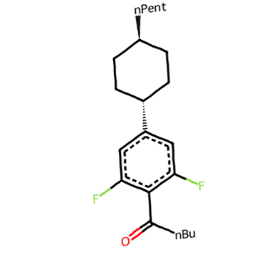 CCCCC[C@H]1CC[C@H](c2cc(F)c(C(=O)CCCC)c(F)c2)CC1